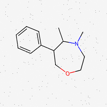 CC1C(c2ccccc2)COCCN1C